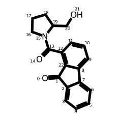 O=C1c2ccccc2-c2cccc(C(=O)N3CCCC3CO)c21